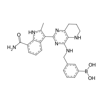 Cc1[nH]c2c(C(N)=O)cccc2c1-c1nc2c(c(NCc3cccc(B(O)O)c3)n1)NCCC2